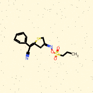 CCCS(=O)(=O)ON=C1CSC(=C(C#N)c2ccccc2)C1